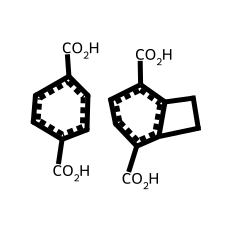 O=C(O)c1ccc(C(=O)O)c2c1CC2.O=C(O)c1ccc(C(=O)O)cc1